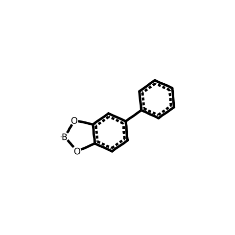 [B]1Oc2ccc(-c3ccccc3)cc2O1